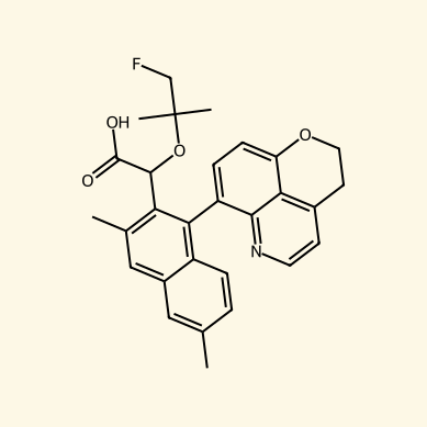 Cc1ccc2c(-c3ccc4c5c(ccnc35)CCO4)c(C(OC(C)(C)CF)C(=O)O)c(C)cc2c1